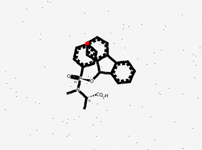 C[C@@H](C(=O)O)N(C)[P@@](=O)(OC1c2ccccc2-c2ccccc21)c1ccccc1